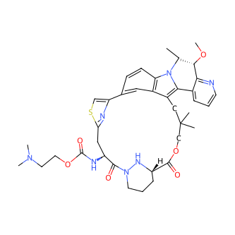 CCn1c(-c2cccnc2[C@H](C)OC)c2c3cc(ccc31)-c1csc(n1)C[C@H](NC(=O)OCCN(C)C)C(=O)N1CCC[C@H](N1)C(=O)OCC(C)(C)C2